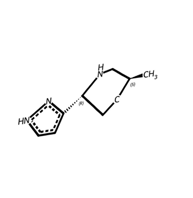 C[C@H]1CC[C@H](c2cc[nH]n2)NC1